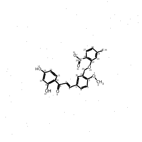 COc1ccc(/C=C/C(=O)c2ccc(O)cc2O)cc1COc1cc(F)ccc1[N+](=O)[O-]